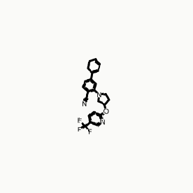 N#Cc1ccc(C2=CC=CCC2)cc1N1CCC(Oc2ccc(C(F)(F)F)cn2)C1